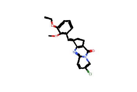 CCOc1cccc(/C=C2\CCc3c2nc2ccc(Cl)cn2c3=O)c1OC